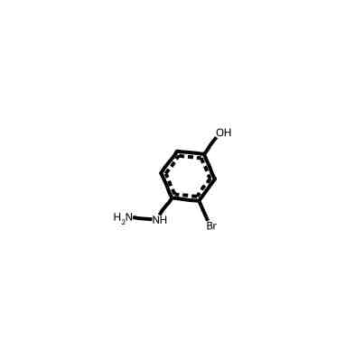 NNc1ccc(O)cc1Br